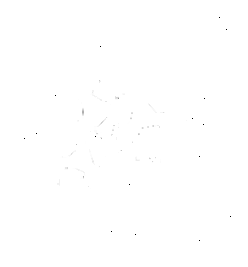 COCC(C)(C)c1c(-c2ccc(C(=O)O)cc2)c2c(O)c(F)ccc2n1-c1ccc(F)c(C)c1